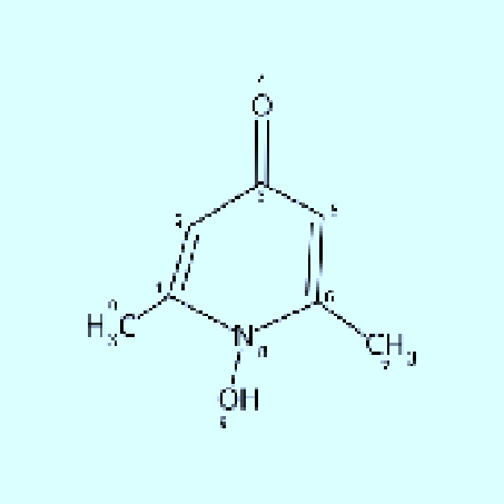 Cc1[c]c(=O)cc(C)n1O